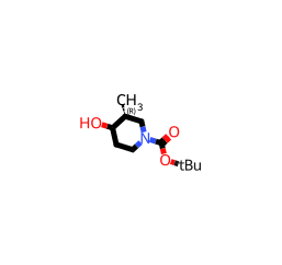 C[C@@H]1CN(C(=O)OC(C)(C)C)CCC1O